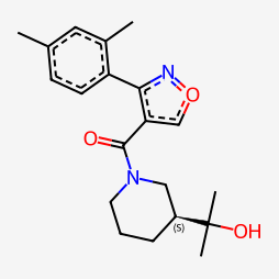 Cc1ccc(-c2nocc2C(=O)N2CCC[C@H](C(C)(C)O)C2)c(C)c1